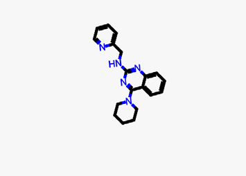 c1ccc(CNc2nc(N3CCCCC3)c3ccccc3n2)nc1